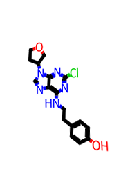 Oc1ccc(CCNc2nc(Cl)nc3c2ncn3C2CCOC2)cc1